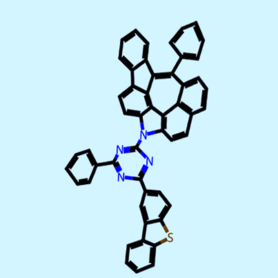 c1ccc(-c2nc(-c3ccc4sc5ccccc5c4c3)nc(-n3c4ccc5c6c4c4c7c(cccc7c(-c7ccccc7)c-6c6ccccc65)ccc43)n2)cc1